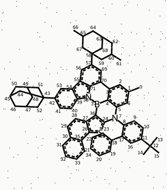 Cc1cc2c3c(c1)N(c1ccc(C(C)(C)C)cc1-c1ccccc1)c1sc4c(ccc5ccccc54)c1B3n1c3ccc(C45CC6CC(CC(C6)C4)C5)cc3c3cc(C45CC(C)CC(CC(C)C4)C5)cc-2c31